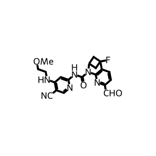 COCCNc1cc(NC(=O)N2c3nc(C=O)ccc3C3(F)CC2C3)ncc1C#N